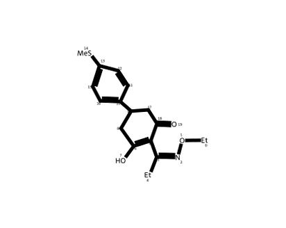 CCO/N=C(/CC)C1=C(O)CC(c2ccc(SC)cc2)CC1=O